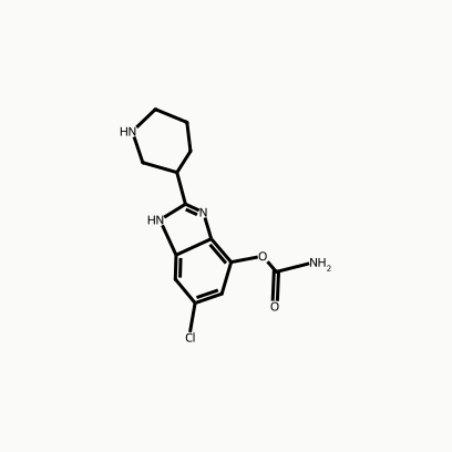 NC(=O)Oc1cc(Cl)cc2[nH]c(C3CCCNC3)nc12